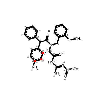 COc1ccccc1CN(C(=O)C(c1ccccc1)c1ccccc1)[C@@H](CCCN)C(=O)NC(N)=N[N+](=O)[O-]